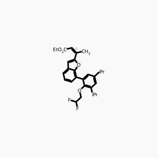 CCOC(=O)/C=C(/C)c1cc2cccc(-c3cc(C(C)C)cc(C(C)C)c3OCC(F)F)c2o1